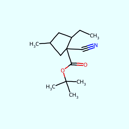 CCC1CC(C)CC1(C#N)C(=O)OC(C)(C)C